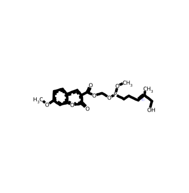 COc1ccc2cc(C(=O)OCOP(CC/C=C(\C)CO)OC)c(=O)oc2c1